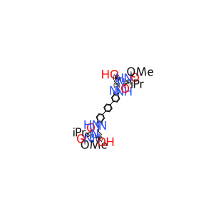 COC(=O)N[C@H](C(=O)N1C[C@H](O)CC1c1nc2cc(-c3ccc(-c4ccc5[nH]c([C@@H]6C[C@@H](O)CN6C(=O)[C@@H](NC(=O)OC)C(C)C)nc5c4)cc3)ccc2[nH]1)C(C)C